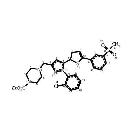 CCOC(=O)N1CCN(Cc2cc(C3CC=C(c4cccc(S(C)(=O)=O)c4)S3)n(-c3ccccc3Cl)n2)CC1